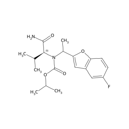 CC(C)OC(=O)N(C(C)c1cc2cc(F)ccc2o1)[C@H](C(N)=O)C(C)C